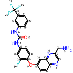 NCc1cnc2ccc(Oc3ccc(NC(=O)Nc4cccc(C(F)(F)F)c4)cc3F)cc2n1